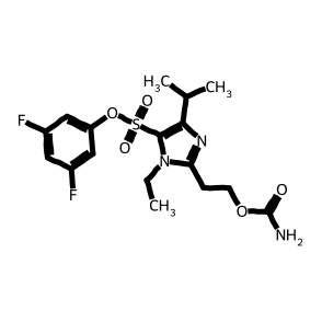 CCn1c(CCOC(N)=O)nc(C(C)C)c1S(=O)(=O)Oc1cc(F)cc(F)c1